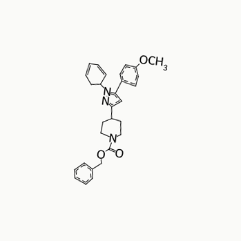 COc1ccc(-c2cc(C3CCN(C(=O)OCc4ccccc4)CC3)nn2C2C=CC=CC2)cc1